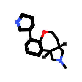 CN1C[C@@H]2CCOc3c(-c4cccnc4)cccc3[C@H]2C1